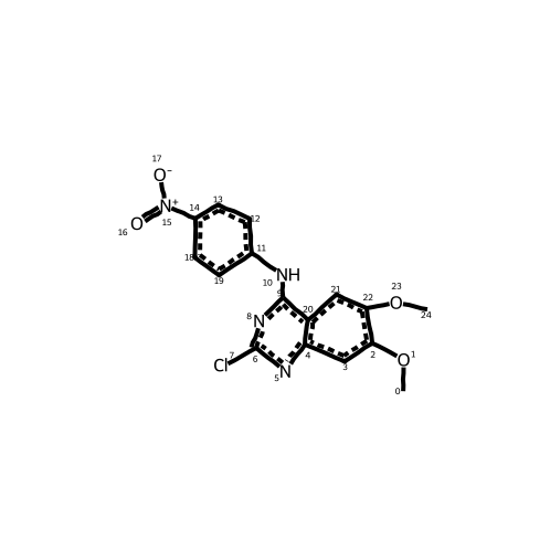 COc1cc2nc(Cl)nc(Nc3ccc([N+](=O)[O-])cc3)c2cc1OC